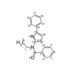 CCN(C(=O)c1ccccc1)c1nc(-c2ccccc2)cs1